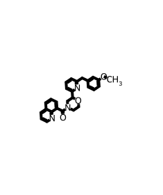 COc1cccc(Cc2cccc(C3CN(C(=O)c4cccc5cccnc45)CCO3)n2)c1